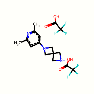 Cc1cc(N2CC3(CNC3)C2)cc(C)n1.O=C(O)C(F)(F)F.O=C(O)C(F)(F)F